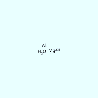 O.[Al].[Mg].[Zn]